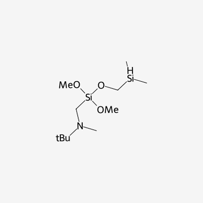 CO[Si](CN(C)C(C)(C)C)(OC)OC[SiH](C)C